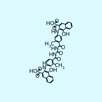 Cc1cc(Nc2c(S(=O)(=O)O)cc3ccccc3c2O)ccc1C(=O)NC(=O)NC(=O)c1ccc(Nc2c(S(=O)(=O)O)cc3ccccc3c2O)cc1C